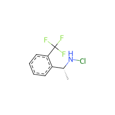 C[C@@H](NCl)c1ccccc1C(F)(F)F